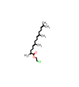 C=C(CC/C=C(\C)CC/C=C(\C)CCC=C(C)C)C(=O)OCCCl